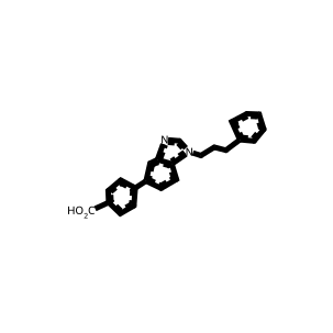 O=C(O)c1ccc(-c2ccc3c(c2)ncn3CCCc2ccccc2)cc1